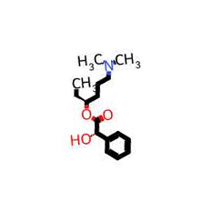 CC[C@@H](CCCN(C)C)OC(=O)[C@@H](O)c1ccccc1